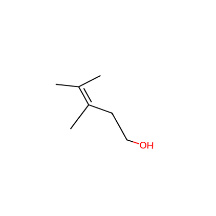 CC(C)=C(C)CCO